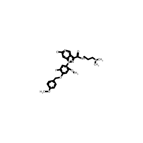 COc1ccc(COc2cc(OC)c(-n3nc(C(=O)NCCCN(C)C)c4cnc(Cl)cc43)cc2F)cc1